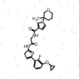 CC1(n2ccc(C(=O)NCC(=O)NC3=NC(c4cccc(OC5CC5)c4F)=CC3)c2)CCCOC1